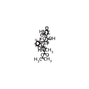 CC(C)OC(=O)[C@H](C)NP(=S)(OC[C@@]1(C(F)F)O[C@@H](n2ccc(=O)[nH]c2=O)[C@H](O)[C@@H]1F)Oc1ccccc1